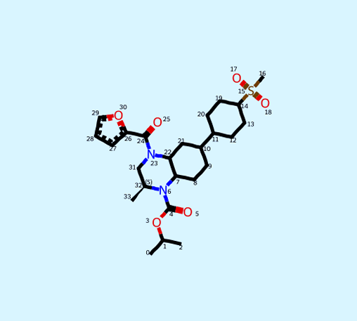 CC(C)OC(=O)N1C2CCC(C3CCC(S(C)(=O)=O)CC3)CC2N(C(=O)c2ccco2)C[C@@H]1C